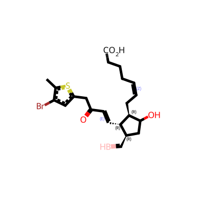 B=C[C@@H]1CC(O)[C@H](C/C=C\CCCC(=O)O)[C@H]1/C=C/C(=O)Cc1cc(Br)c(C)s1